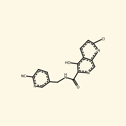 N#Cc1ccc(CNC(=O)c2ncc3nc(Cl)ccc3c2O)cn1